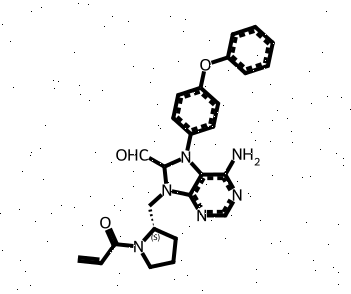 C=CC(=O)N1CCC[C@H]1CN1c2ncnc(N)c2N(c2ccc(Oc3ccccc3)cc2)C1C=O